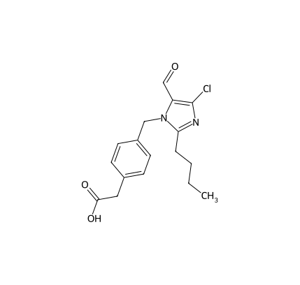 CCCCc1nc(Cl)c(C=O)n1Cc1ccc(CC(=O)O)cc1